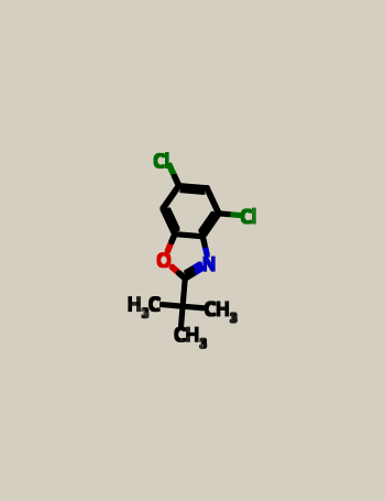 CC(C)(C)c1nc2c(Cl)cc(Cl)cc2o1